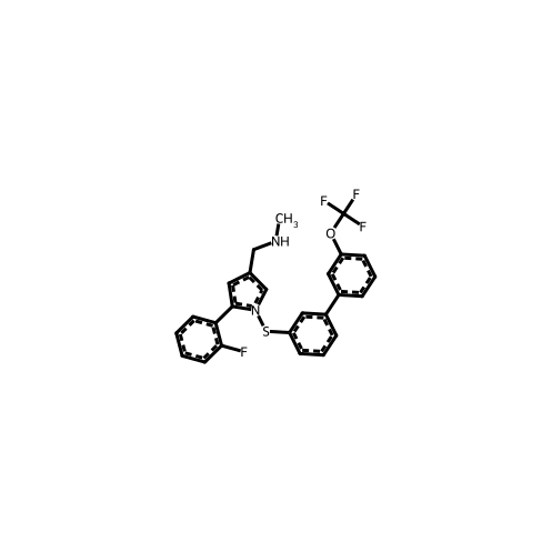 CNCc1cc(-c2ccccc2F)n(Sc2cccc(-c3cccc(OC(F)(F)F)c3)c2)c1